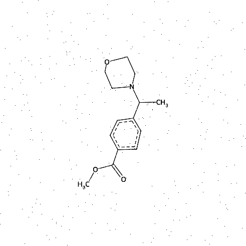 COC(=O)c1ccc(C(C)N2CCOCC2)cc1